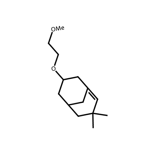 COCCOC1CC2=CC(C)(C)CC(C2)C1